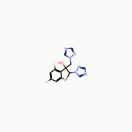 CC(n1cncn1)C(O)(Cn1cncn1)c1ccc(F)cc1F